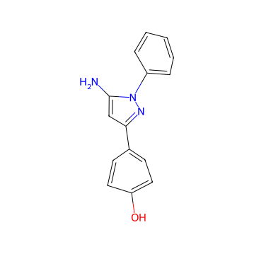 Nc1cc(-c2ccc(O)cc2)nn1-c1ccccc1